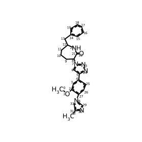 COc1cc(-c2cn(C3CCCC(Cc4ccccc4)NC3=O)nn2)ccc1-n1cnc(C)c1